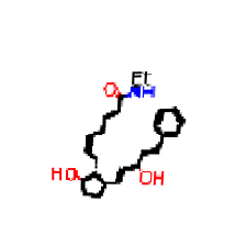 CCNC(=O)CCC/C=C\C[C@H]1[C@@H](O)CC[C@@H]1/C=C/[C@@H](O)CCc1ccccc1